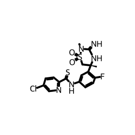 CN1C(=N)N[C@](C)(c2cc(NC(=S)c3ccc(Cl)cn3)ccc2F)CS1(=O)=O